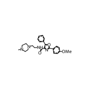 COc1ccc(-c2nc(C(=O)NCCN3CCN(C)CC3)c(-c3ccccc3)o2)cc1